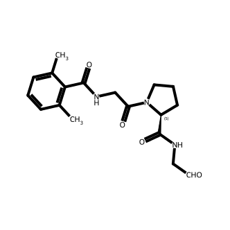 Cc1cccc(C)c1C(=O)NCC(=O)N1CCC[C@H]1C(=O)NCC=O